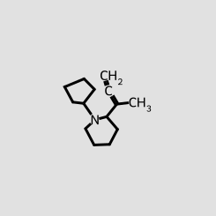 C=C=C(C)C1CCCCN1C1CCCC1